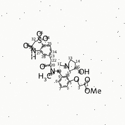 COC(=O)COc1cccc([C@@H](CN2CC[C@H](O)C2)N(C)C(=O)Cc2ccc3c(c2)NC(=O)CS3(=O)=O)c1